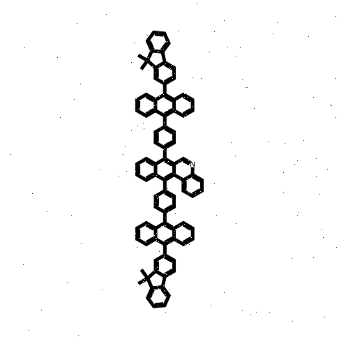 CC1(C)c2ccccc2-c2ccc(-c3c4ccccc4c(-c4ccc(-c5c6ccccc6c(-c6ccc(-c7c8ccccc8c(-c8ccc9c(c8)C(C)(C)c8ccccc8-9)c8ccccc78)cc6)c6c5cnc5ccccc56)cc4)c4ccccc34)cc21